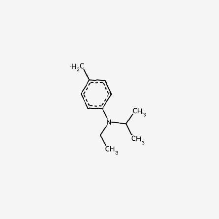 [CH2]c1ccc(N(CC)C(C)C)cc1